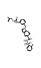 C=C(C)COC(=O)Nc1cccc(Cn2ccc3cc(C(=O)NS(=O)(=O)c4ccccc4C)ccc32)c1